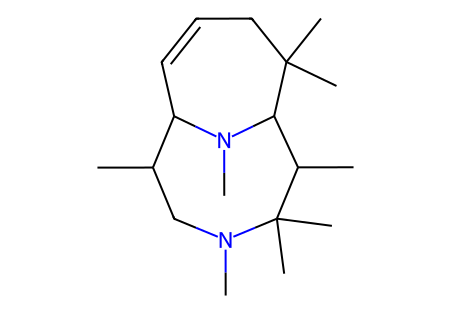 CC1CN(C)C(C)(C)C(C)C2N(C)C1C=CCC2(C)C